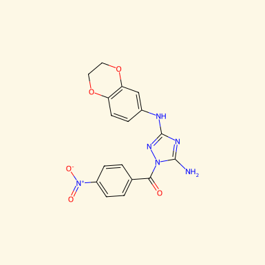 Nc1nc(Nc2ccc3c(c2)OCCO3)nn1C(=O)c1ccc([N+](=O)[O-])cc1